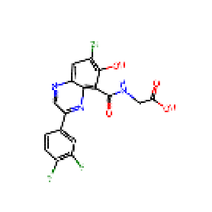 O=C(O)CNC(=O)c1c(O)c(Br)cc2ncc(-c3ccc(F)c(F)c3)nc12